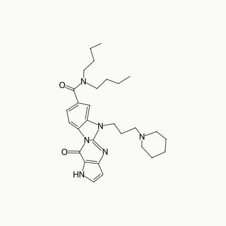 CCCCN(CCCC)C(=O)c1ccc2c(c1)n(CCCN1CCCCC1)c1nc3cc[nH]c3c(=O)n21